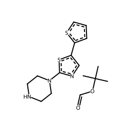 CC(C)(C)OC=O.c1csc(-c2cnc(N3CCNCC3)s2)c1